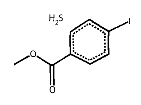 COC(=O)c1ccc(I)cc1.S